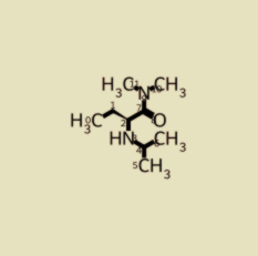 CC[C@H](NC(C)C)C(=O)N(C)C